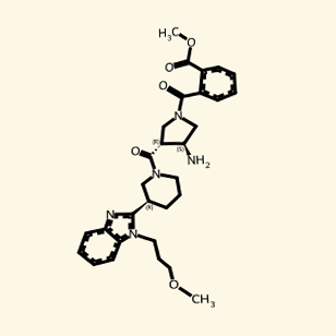 COCCCn1c([C@@H]2CCCN(C(=O)[C@@H]3CN(C(=O)c4ccccc4C(=O)OC)C[C@H]3N)C2)nc2ccccc21